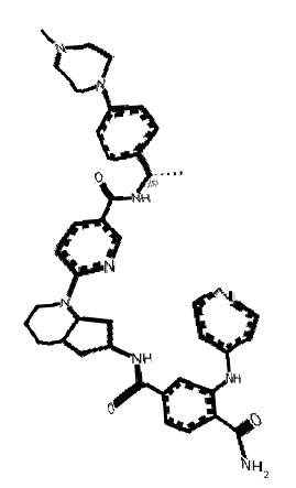 C[C@H](NC(=O)c1ccc(N2CCCC3CC(NC(=O)c4ccc(C(N)=O)c(Nc5ccncc5)c4)CC32)nc1)c1ccc(N2CCN(C)CC2)cc1